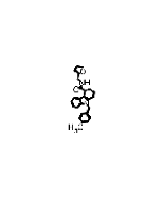 Cc1ccc(Cn2c3c(c4ccccc42)C(C(=O)NCc2ccco2)CCC3)cc1